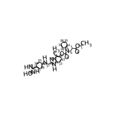 CCOC(=O)CCN(C(=O)Oc1ccc2[nH]c(CNc3ccc(C(=N)NO)cc3)nc2c1C)c1ccccc1